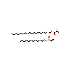 C=C(C)C(=O)OCCCCCCCCCCCCCCCCCC.C=CC(=O)OCCCCCCCCCCCC